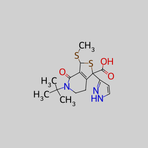 CSC1SC(C(=O)O)(c2cc[nH]n2)C2=C1C(=O)N(C(C)(C)C)CC2